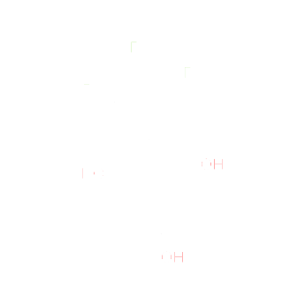 Oc1cc(O)c(-c2cc(F)c(F)c(F)c2)c(O)c1